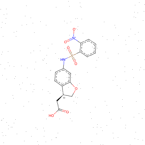 O=C(O)C[C@@H]1COc2cc(NS(=O)(=O)c3ccccc3[N+](=O)[O-])ccc21